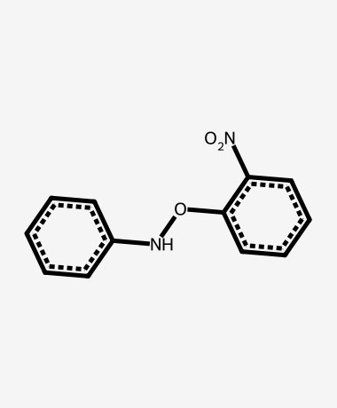 O=[N+]([O-])c1ccccc1ONc1ccccc1